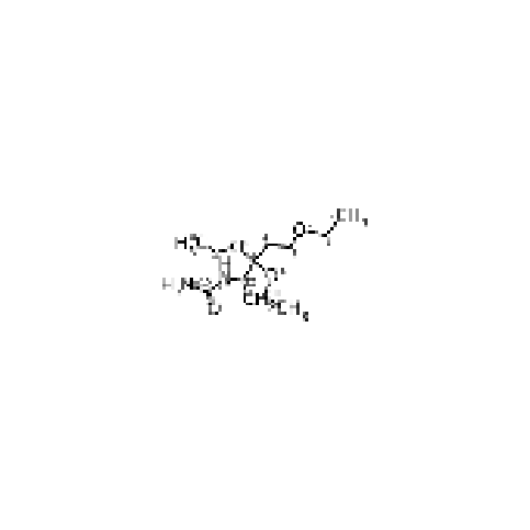 CCOCCC(OCC)(OCC)C(C)NC(N)=O